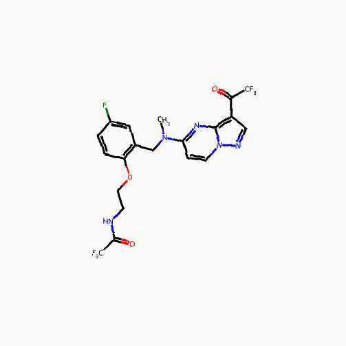 CN(Cc1cc(F)ccc1OCCNC(=O)C(F)(F)F)c1ccn2ncc(C(=O)C(F)(F)F)c2n1